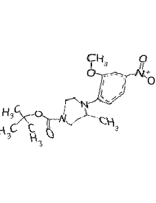 COc1cc([N+](=O)[O-])ccc1N1CCN(C(=O)OC(C)(C)C)CC1C